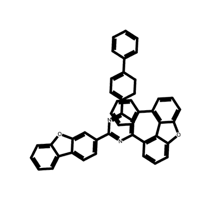 C1=C(c2ccccc2)CCC(c2nc(-c3ccc4c(c3)oc3ccccc34)nc(-c3cccc4oc5cccc(-c6ccccc6)c5c34)n2)=C1